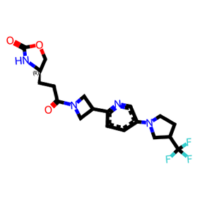 O=C1N[C@H](CCC(=O)N2CC(c3ccc(N4CCC(C(F)(F)F)C4)cn3)C2)CO1